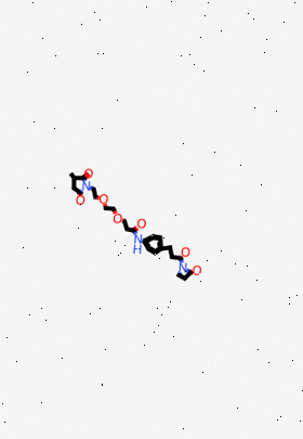 CC1CC(=O)N(CCOCCOCCC(=O)Nc2ccc(CCC(=O)N3CCC3=O)cc2)C1=O